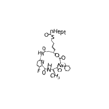 C/C=C1\NC(=O)c2nc(ccc2F)CNC(=O)C[C@@H](/C=C/CCSC(=O)CCCCCCC)OC(=O)[C@H](Cc2ccccc2)NC1=O